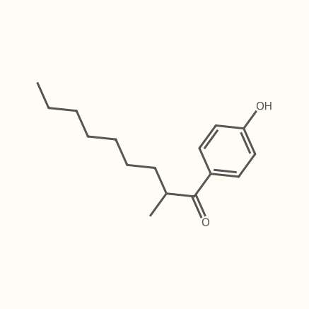 CCCCCCCC(C)C(=O)c1ccc(O)cc1